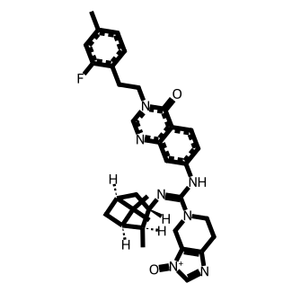 Cc1ccc(CCn2cnc3cc(NC(=N[C@H]4C[C@@H]5C[C@H]([C@@H]4C)C5(C)C)N4CCC5=C(C4)[N+](=O)C=N5)ccc3c2=O)c(F)c1